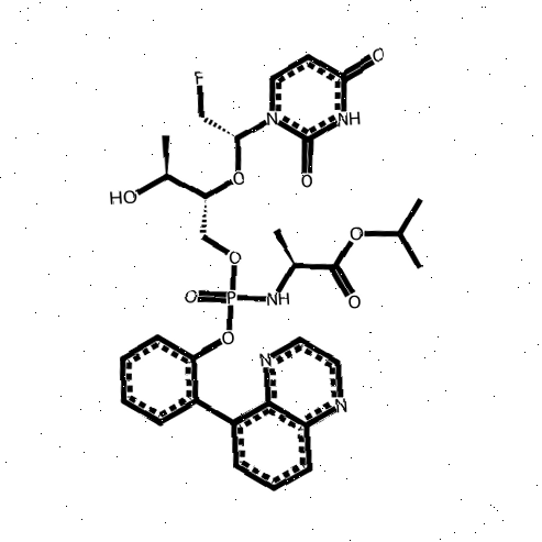 CC(C)OC(=O)[C@H](C)NP(=O)(OC[C@@H](O[C@H](CF)n1ccc(=O)[nH]c1=O)[C@H](C)O)Oc1ccccc1-c1cccc2nccnc12